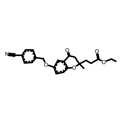 CCOC(=O)CCC1(C)CC(=O)c2cc(OCc3ccc(C#N)cc3)ccc2O1